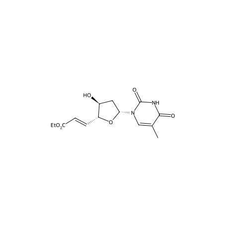 CCOC(=O)C=C[C@H]1O[C@@H](n2cc(C)c(=O)[nH]c2=O)C[C@@H]1O